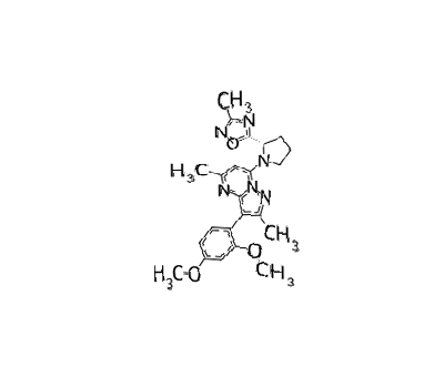 COc1ccc(-c2c(C)nn3c(N4CCC[C@H]4c4nc(C)no4)cc(C)nc23)c(OC)c1